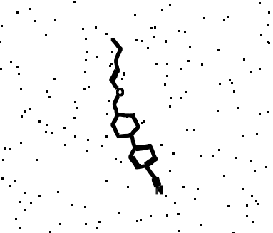 CCC/C=C/OCC1CCC(c2ccc(C#N)cc2)CC1